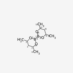 CC1CC(C)OB(B2OC(C)CC(C)O2)O1